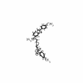 Cc1ccc(-c2cn3ccc(N(C)CCOCCOS(=O)(=O)c4ccc(C)cc4)cc3n2)cc1